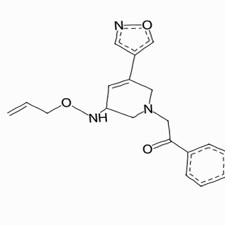 C=CCONC1C=C(c2cnoc2)CN(CC(=O)c2ccccc2)C1